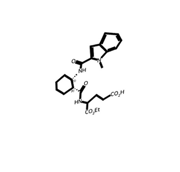 CCOC(=O)C(CCC(=O)O)NC(=O)[C@@H]1CCCC[C@@H]1NC(=O)c1cc2ccccc2n1C